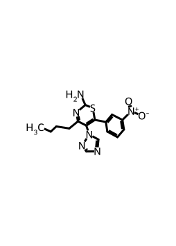 CCCCC1=NC(N)SC(c2cccc([N+](=O)[O-])c2)=C1n1cncn1